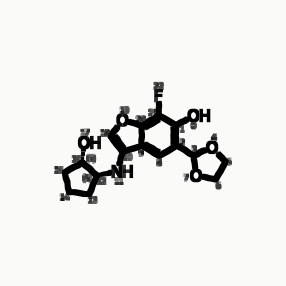 Oc1c(C2OCCO2)cc2c(N[C@H]3CCC[C@@H]3O)coc2c1F